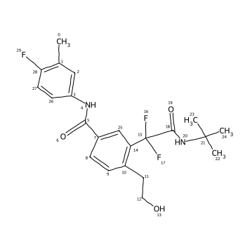 Cc1cc(NC(=O)c2ccc(CCO)c(C(F)(F)C(=O)NC(C)(C)C)c2)ccc1F